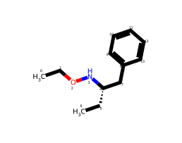 CCON[C@@H](CC)Cc1ccccc1